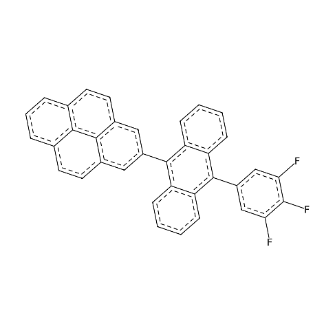 Fc1cc(-c2c3ccccc3c(-c3cc4ccc5cccc6ccc(c3)c4c56)c3ccccc23)cc(F)c1F